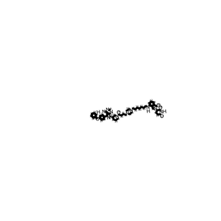 Nc1ncnc2c1c(-c1ccc(Oc3ccccc3)cc1)nn2C1CCCN(C(=O)CCCN2CCN(CCCCCCCNc3cccc4c3CN(C3CCC(=O)NC3=O)C4=O)CC2)C1